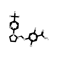 NC(=O)c1cc(Cl)c(OC[C@H]2CCCN2c2ccc(C(F)(F)F)cn2)cc1F